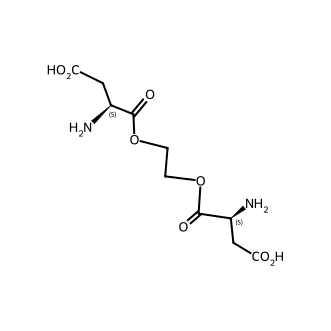 N[C@@H](CC(=O)O)C(=O)OCCOC(=O)[C@@H](N)CC(=O)O